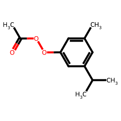 CC(=O)OOc1cc(C)cc(C(C)C)c1